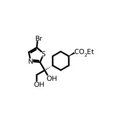 CCOC(=O)[C@H]1CC[C@H](C(O)(CO)c2ncc(Br)s2)CC1